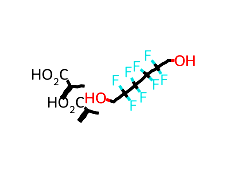 C=C(C)C(=O)O.C=C(C)C(=O)O.OCC(F)(F)C(F)(F)C(F)(F)C(F)(F)CO